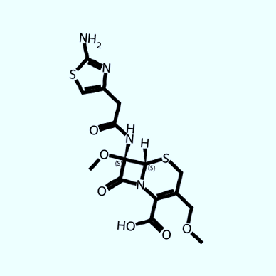 COCC1=C(C(=O)O)N2C(=O)[C@](NC(=O)Cc3csc(N)n3)(OC)[C@@H]2SC1